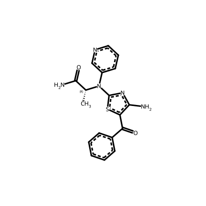 C[C@H](C(N)=O)N(c1cccnc1)c1nc(N)c(C(=O)c2ccccc2)s1